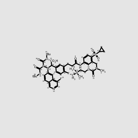 CN(Cc1cc(NC(=O)CCc2cc(C(C(=O)O)N(c3ccc4cncc(F)c4c3)N(C(=O)OC(C)(C)C)C(=O)OC(C)(C)C)ccc2F)ccc1S(=O)(=O)C1CC1)C(=O)OCC[Si](C)(C)C